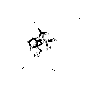 CC(=O)N1C[C@]2(CO)OCC1C2O[PH](=O)O